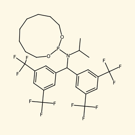 CC(C)N(C(c1cc(C(F)(F)F)cc(C(F)(F)F)c1)c1cc(C(F)(F)F)cc(C(F)(F)F)c1)P1OCCCCCCCCO1